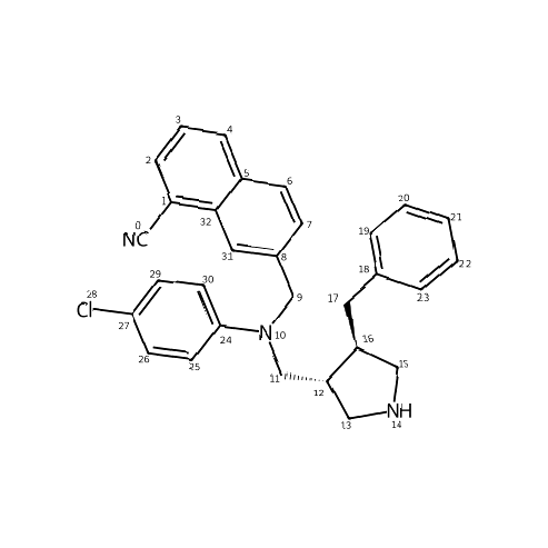 N#Cc1cccc2ccc(CN(C[C@H]3CNC[C@@H]3Cc3ccccc3)c3ccc(Cl)cc3)cc12